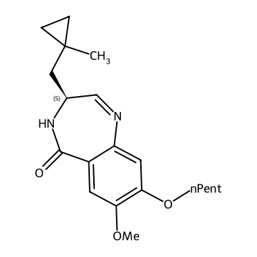 CCCCCOc1cc2c(cc1OC)C(=O)N[C@@H](CC1(C)CC1)C=N2